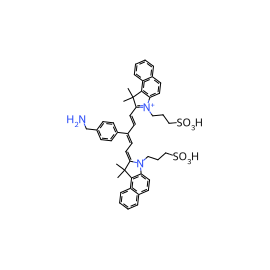 CC1(C)C(/C=C/C(=C/C=C2\N(CCCS(=O)(=O)O)c3ccc4ccccc4c3C2(C)C)c2ccc(CN)cc2)=[N+](CCCS(=O)(=O)O)c2ccc3ccccc3c21